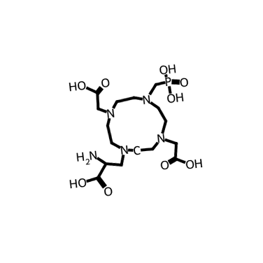 NC(CN1CCN(CC(=O)O)CCN(CP(=O)(O)O)CCN(CC(=O)O)CC1)C(=O)O